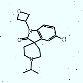 CC(C)N1CCC2(CC1)C(=O)N(C1COC1)c1ccc(Cl)cc12